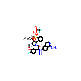 CCOc1cc(C(Nc2ccc3c(N)nccc3c2)C(=O)N2CCC(C(=O)OC)C2c2ccccc2S(=O)(=O)C(C)C)ccc1F.O=C(O)C(F)(F)F